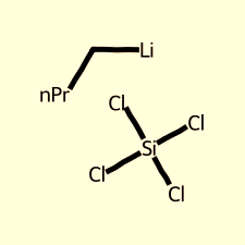 Cl[Si](Cl)(Cl)Cl.[Li][CH2]CCC